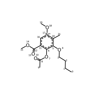 CCCCOc1c(OC(C)=O)c(C(=O)OC)c[n+](OC)c1C